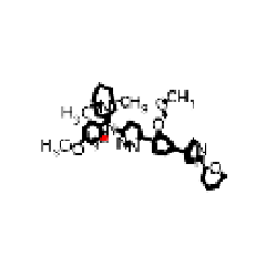 COCOc1cc(-c2cnn(C3CCCCO3)c2)ccc1-c1ccc(N(C)C2C[C@]3(C)CCC[C@](C)(C2)N3Cc2ccc(OC)cc2)nn1